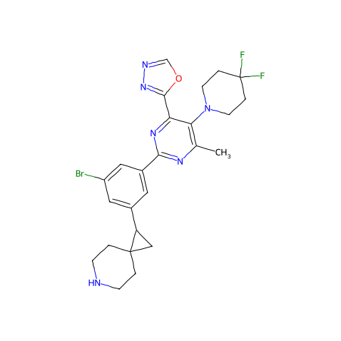 Cc1nc(-c2cc(Br)cc(C3CC34CCNCC4)c2)nc(-c2nnco2)c1N1CCC(F)(F)CC1